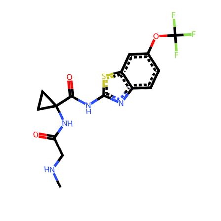 CNCC(=O)NC1(C(=O)Nc2nc3ccc(OC(F)(F)F)cc3s2)CC1